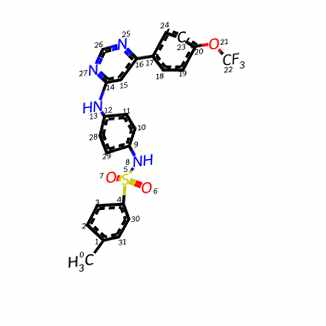 Cc1ccc(S(=O)(=O)Nc2ccc(Nc3cc(-c4ccc(OC(F)(F)F)cc4)ncn3)cc2)cc1